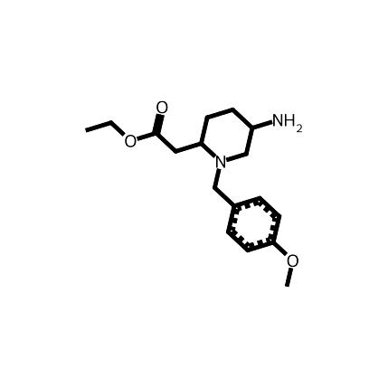 CCOC(=O)CC1CCC(N)CN1Cc1ccc(OC)cc1